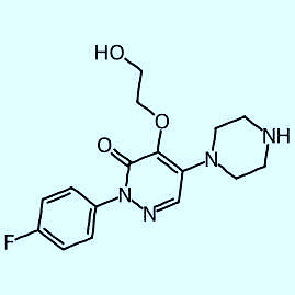 O=c1c(OCCO)c(N2CCNCC2)cnn1-c1ccc(F)cc1